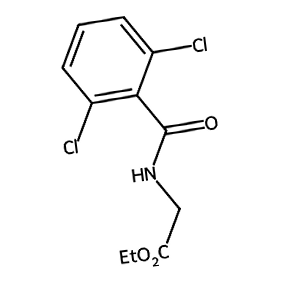 CCOC(=O)CNC(=O)c1c(Cl)cccc1Cl